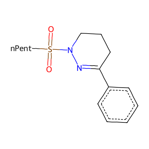 CCCCCS(=O)(=O)N1CCCC(c2ccccc2)=N1